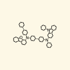 c1ccc(-c2ccc(N(c3ccc(-c4ccc(N(c5ccccc5)c5ccc6c7ccccc7n(-c7ccccc7)c6c5)cc4)cc3)c3cccc4c3oc3ccccc34)cc2)cc1